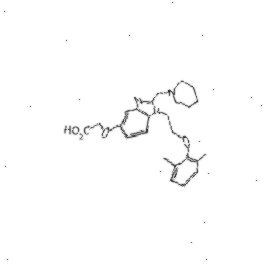 Cc1cccc(C)c1OCCn1c(CN2CCCCC2)nc2cc(OCC(=O)O)ccc21